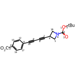 CC(C)(C)OC(=O)N1CC(C#CC#Cc2ccc(C(=O)O)cc2)C1